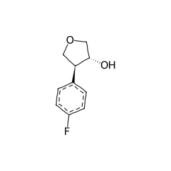 O[C@H]1COC[C@@H]1c1ccc(F)cc1